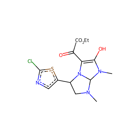 CCOC(=O)C(=O)C1=C(O)N(C)C2N(C)CC(c3cnc(Cl)s3)N12